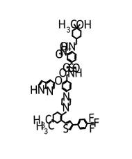 CC1(C)CCC(CN2CCN(c3ccc(C(=O)NS(=O)(=O)c4ccc(NCC5CCC(C)(O)CC5)c([N+](=O)[O-])c4)c(Oc4cnc5[nH]ccc5c4)c3)CC2)=C(c2cc(-c3ccc(C(F)(F)F)cc3)cs2)C1